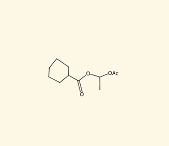 CC(=O)OC(C)OC(=O)C1CCCCC1